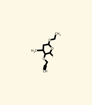 C#CCOC1C(C)CC(OCC)OC1I